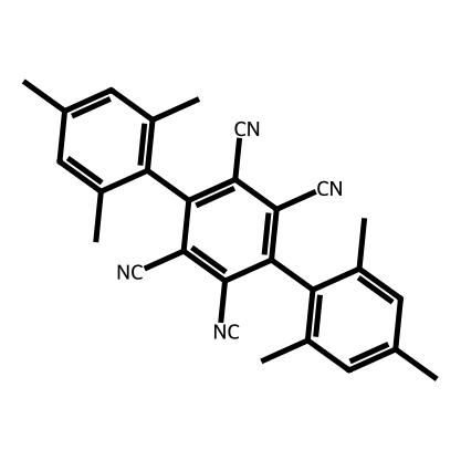 [C-]#[N+]c1c(C#N)c(-c2c(C)cc(C)cc2C)c(C#N)c(C#N)c1-c1c(C)cc(C)cc1C